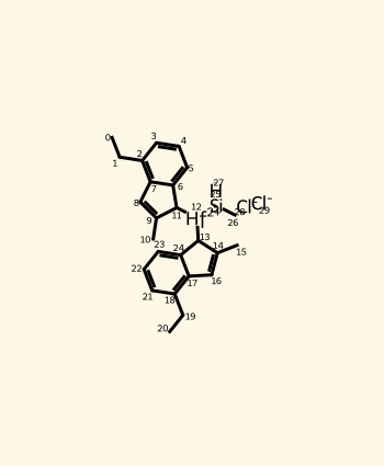 CCc1cccc2c1C=C(C)[CH]2[Hf+2]([CH]1C(C)=Cc2c(CC)cccc21)[SiH](C)C.[Cl-].[Cl-]